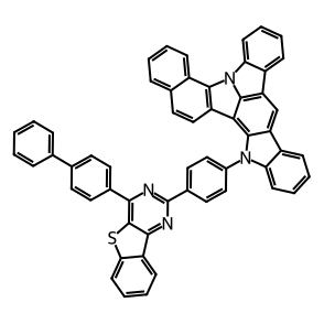 c1ccc(-c2ccc(-c3nc(-c4ccc(-n5c6ccccc6c6cc7c8ccccc8n8c9c%10ccccc%10ccc9c(c65)c78)cc4)nc4c3sc3ccccc34)cc2)cc1